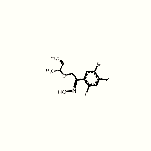 C=CC(C)OC/C(=N\O)c1cc(Br)c(F)cc1F